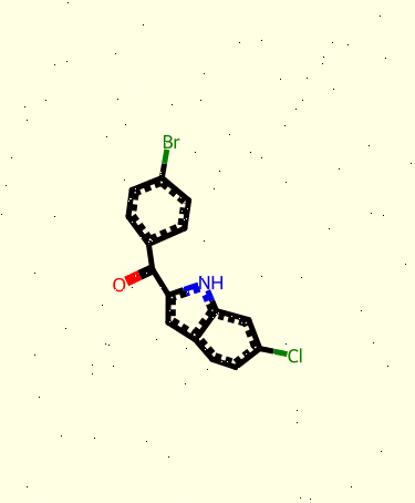 O=C(c1ccc(Br)cc1)c1cc2ccc(Cl)cc2[nH]1